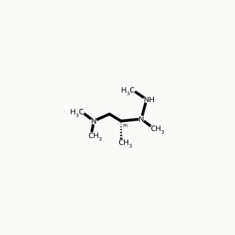 CNN(C)[C@H](C)CN(C)C